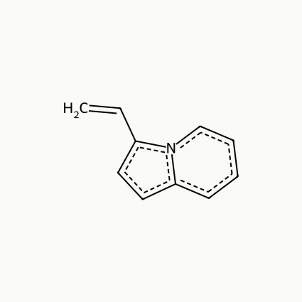 C=Cc1ccc2ccccn12